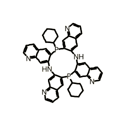 c1cnc2cc3c(cc2c1)P(C1CCCCC1)c1cc2ncccc2cc1Nc1cc2cccnc2cc1P(C1CCCCC1)c1cc2cccnc2cc1N3